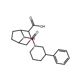 O=C(O)C1NCC2CCC1N2C(=O)N1CCCC(c2ccccc2)C1